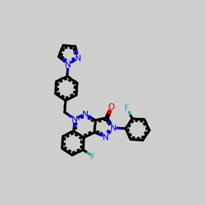 O=c1c2nn(Cc3ccc(-n4cccn4)cc3)c3cccc(F)c3c-2nn1-c1ccccc1F